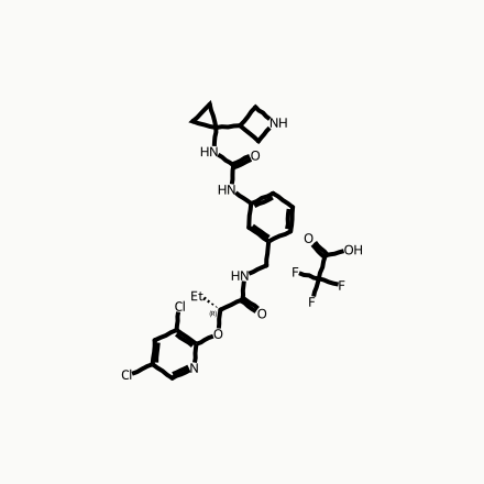 CC[C@@H](Oc1ncc(Cl)cc1Cl)C(=O)NCc1cccc(NC(=O)NC2(C3CNC3)CC2)c1.O=C(O)C(F)(F)F